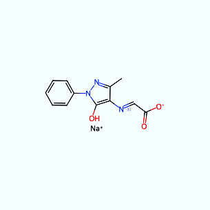 Cc1nn(-c2ccccc2)c(O)c1/N=C/C(=O)[O-].[Na+]